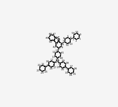 c1ccc(-c2ccc(-c3cc(-c4ccc(N(c5ccc(-c6ccccc6)cc5)c5ccc(-c6ccccc6)cc5)cc4)cc4c3sc3ccccc34)cc2)cc1